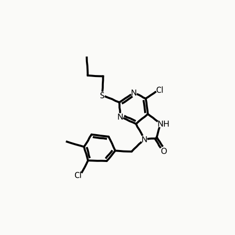 CCCSc1nc(Cl)c2[nH]c(=O)n(Cc3ccc(C)c(Cl)c3)c2n1